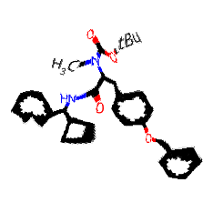 CN(C(=O)OC(C)(C)C)C(Cc1ccc(OCc2ccccc2)cc1)C(=O)NC(c1ccccc1)C1CCC1